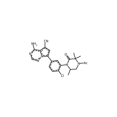 CC(=O)N1CC(C)N(c2cc(-c3cc(C#N)c4c(N)ncnn34)ccc2Cl)C(=O)C1(C)C